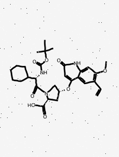 C=Cc1cc2c(O[C@@H]3C[C@@H](C(=O)O)N(C(=O)[C@@H](NC(=O)OC(C)(C)C)C4CCCCC4)C3)cc(=O)[nH]c2cc1OC